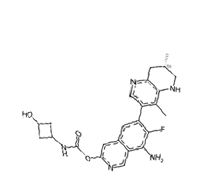 Cc1c(-c2cc3cc(OC(=O)NC4CC(O)C4)ncc3c(N)c2F)cnc2c1NC[C@@H](C)C2